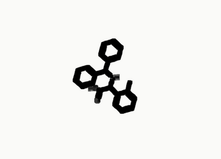 Cc1ccccc1C(NC(c1ccccc1)c1ccccc1)C(=O)O